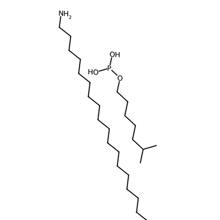 CC(C)CCCCCOP(O)O.CCCCCCCCCCCCCCCCCCN